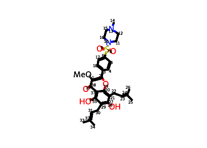 COc1c(-c2ccc(S(=O)(=O)N3CCN(C)CC3)cc2)oc2c(CC=C(C)C)c(O)c(CC=C(C)C)c(O)c2c1=O